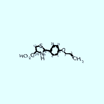 C=CCOc1ccc(C2NC(C(=O)O)CS2)cc1